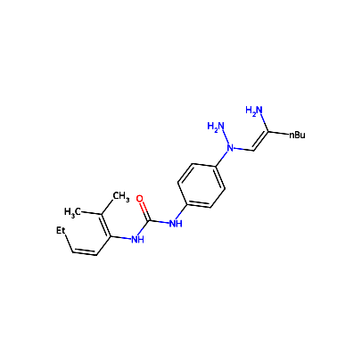 CC/C=C\C(NC(=O)Nc1ccc(N(N)/C=C(\N)CCCC)cc1)=C(C)C